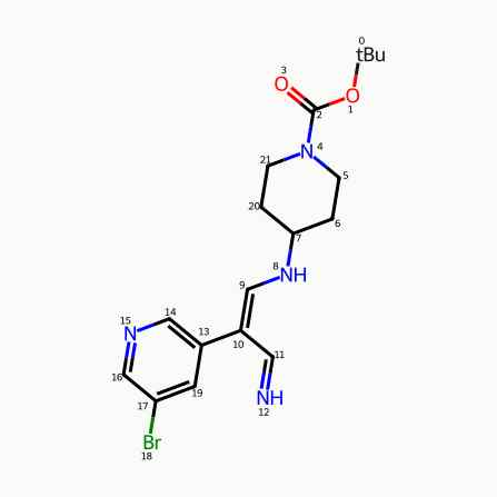 CC(C)(C)OC(=O)N1CCC(N/C=C(\C=N)c2cncc(Br)c2)CC1